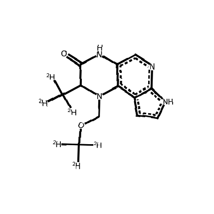 [2H]C([2H])([2H])OCN1c2c(cnc3[nH]ccc23)NC(=O)C1C([2H])([2H])[2H]